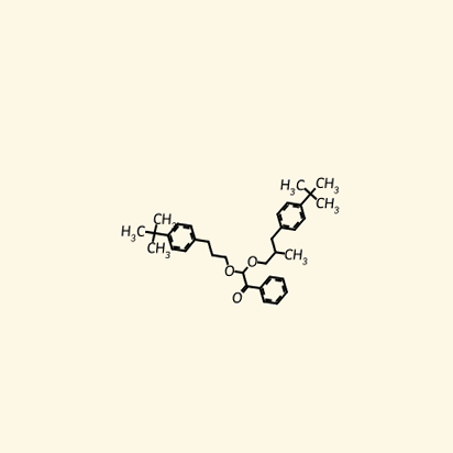 CC(COC(OCCCc1ccc(C(C)(C)C)cc1)C(=O)c1ccccc1)Cc1ccc(C(C)(C)C)cc1